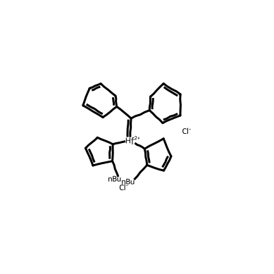 CCCCC1=[C]([Hf+2]([C]2=C(CCCC)C=CC2)=[C](c2ccccc2)c2ccccc2)CC=C1.[Cl-].[Cl-]